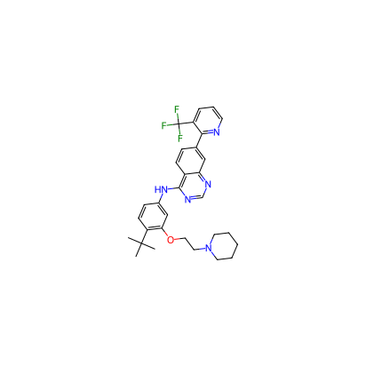 CC(C)(C)c1ccc(Nc2ncnc3cc(-c4ncccc4C(F)(F)F)ccc23)cc1OCCN1CCCCC1